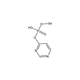 O=P(O)(OS)Oc1ccncn1